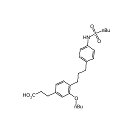 CCCCOc1cc(CCC(=O)O)ccc1CCCc1ccc(NS(=O)(=O)CCCC)cc1